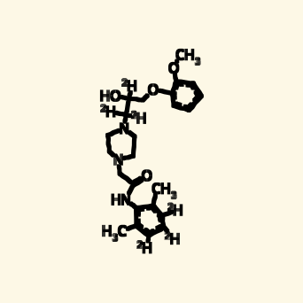 [2H]c1c([2H])c(C)c(NC(=O)CN2CCN(C([2H])([2H])C([2H])(O)COc3ccccc3OC)CC2)c(C)c1[2H]